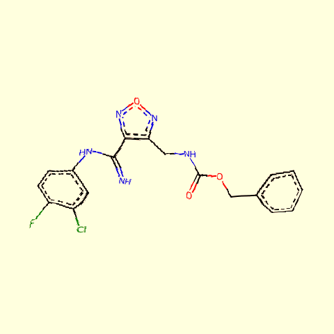 N=C(Nc1ccc(F)c(Cl)c1)c1nonc1CNC(=O)OCc1ccccc1